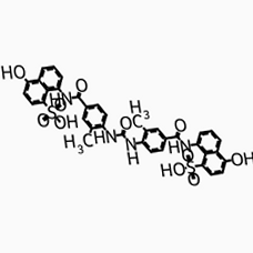 Cc1cc(C(=O)Nc2cccc3c(O)ccc(S(=O)(=O)O)c23)ccc1NC(=O)Nc1ccc(C(=O)Nc2cccc3c(O)ccc(S(=O)(=O)O)c23)cc1C